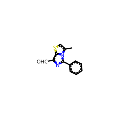 Cc1csc2c(C=O)nc(-c3ccccc3)n12